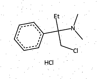 CCC(CCl)(c1ccccc1)N(C)C.Cl